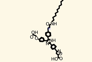 CCCCCCCCCCCCNC(=O)/C=C/c1ccc(-c2[nH]c(-c3ccc(C4=NOC(C(=O)O)C4)cc3)nc2-c2ccc(OCC(=O)O)cc2)cc1